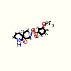 O=C1NCCCC12CCN(S(=O)(=O)c1cccc(OC(F)(F)F)c1)CC2